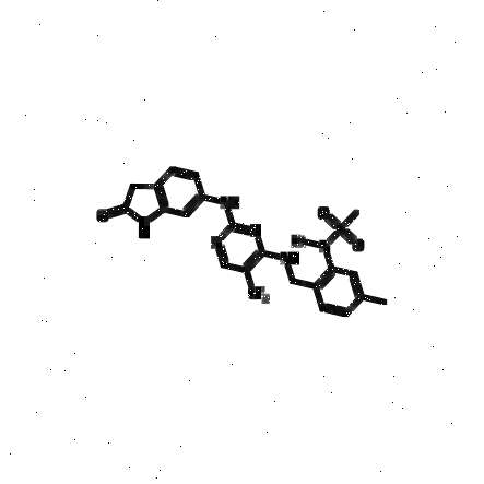 CCN(c1cc(C)ccc1CNc1nc(Nc2ccc3c(c2)NC(=O)C3)ncc1C(F)(F)F)S(C)(=O)=O